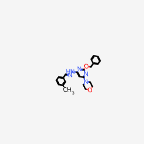 Cc1cccc(C=NNc2cc(N3CCOCC3)nc(OCc3ccccc3)n2)c1